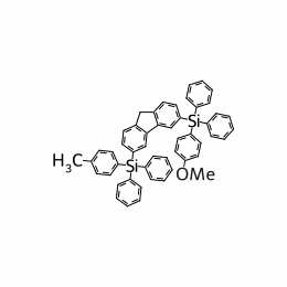 COc1ccc([Si](c2ccccc2)(c2ccccc2)c2ccc3c(c2)-c2cc([Si](c4ccccc4)(c4ccccc4)c4ccc(C)cc4)ccc2C3)cc1